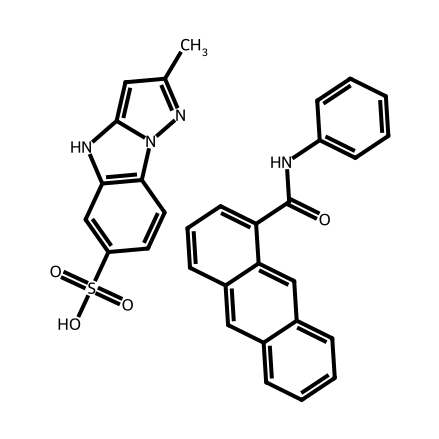 Cc1cc2[nH]c3cc(S(=O)(=O)O)ccc3n2n1.O=C(Nc1ccccc1)c1cccc2cc3ccccc3cc12